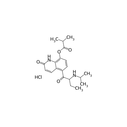 CCC(NC(C)C)C(=O)c1ccc(OC(=O)C(C)C)c2[nH]c(=O)ccc12.Cl